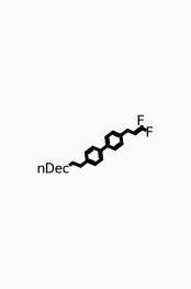 CCCCCCCCCCCCc1ccc(-c2ccc(CC=C(F)F)cc2)cc1